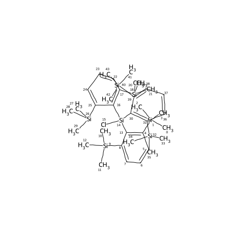 C[Si](C)(C)c1cccc([Si](C)(C)C)c1[Si](Cl)(c1c([Si](C)(C)C)cccc1[Si](C)(C)C)c1c([Si](C)(C)C)cccc1[Si](C)(C)C